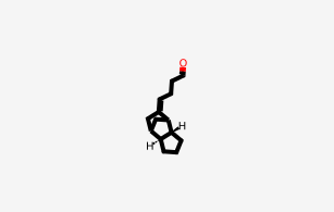 O=CCC/C=C1/CC2CC1[C@@H]1CCC[C@@H]21